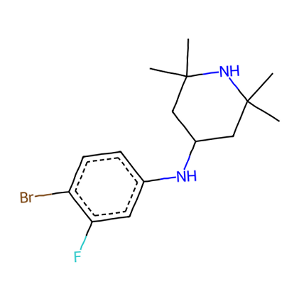 CC1(C)CC(Nc2ccc(Br)c(F)c2)CC(C)(C)N1